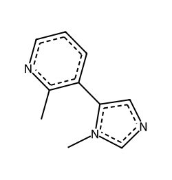 Cc1ncccc1-c1cncn1C